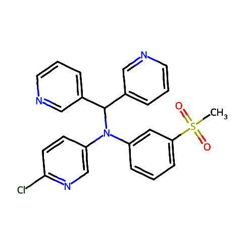 CS(=O)(=O)c1cccc(N(c2ccc(Cl)nc2)C(c2cccnc2)c2cccnc2)c1